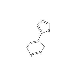 C1=NCC=C(c2cccs2)C1